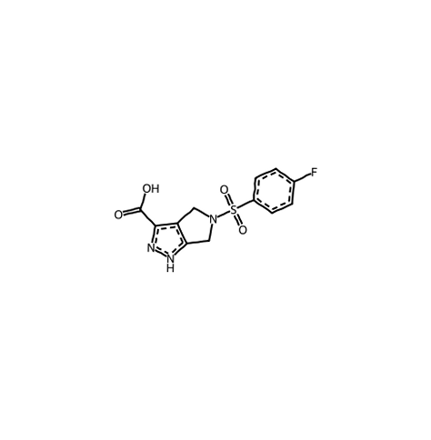 O=C(O)c1n[nH]c2c1CN(S(=O)(=O)c1ccc(F)cc1)C2